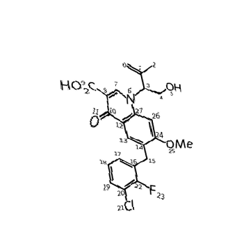 C=C(C)[C@@H](CO)n1cc(C(=O)O)c(=O)c2cc(Cc3cccc(Cl)c3F)c(OC)cc21